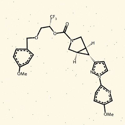 COc1ccc(COC[C@@H](OC(=O)N2C[C@@H]3[C@H](C2)[C@H]3c2ccn(-c3ccc(OC)cn3)n2)C(F)(F)F)cc1